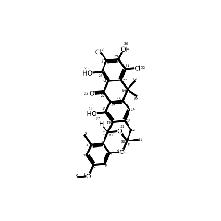 COc1cc(C)c2c(c1)O[C@@]1(C)Cc3cc4c(c(O)c3[C@@H]2O1)C(=O)c1c(O)c(Cl)c(O)c(Cl)c1C4(C)C